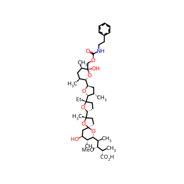 CC[C@@]1([C@@H]2O[C@@H]([C@H]3O[C@@](O)(COC(=O)NCCc4ccccc4)[C@H](C)C[C@@H]3C)C[C@@H]2C)CC[C@H]([C@]2(C)CC[C@]3(C[C@H](O)[C@@H](C)[C@@H]([C@@H](C)[C@@H](OC)[C@H](C)C(=O)O)O3)O2)O1